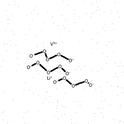 [Li+].[O-]OOO[O-].[O-]OOO[O-].[O-]OOO[O-].[V+5]